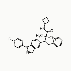 CC(C)(C(=O)NC1CCC1)C(Cc1ccccc1)c1ccc2c(cnn2-c2ccc(F)cc2)c1